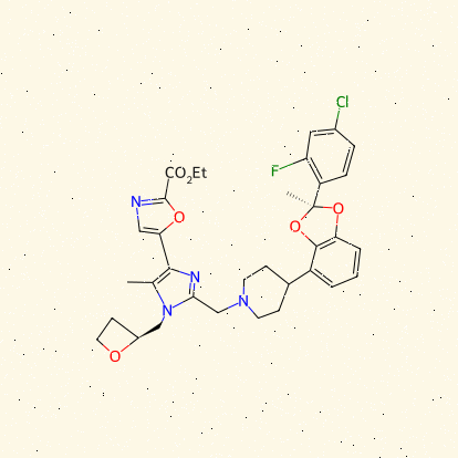 CCOC(=O)c1ncc(-c2nc(CN3CCC(c4cccc5c4O[C@@](C)(c4ccc(Cl)cc4F)O5)CC3)n(C[C@@H]3CCO3)c2C)o1